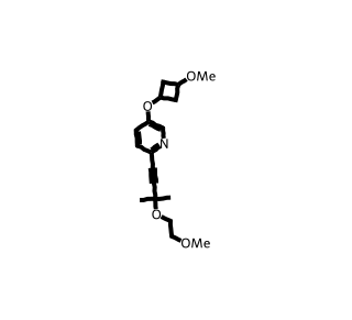 COCCOC(C)(C)C#Cc1ccc(OC2CC(OC)C2)cn1